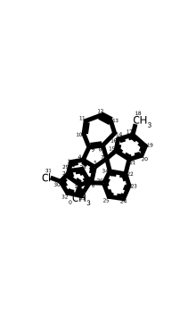 Cc1ccc2c(c1)C1(C3=C2C=CC#CC3)c2cc(C)ccc2-c2cccc(-c3ccc(Cl)cc3)c21